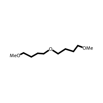 COCCCCOCCCCOC